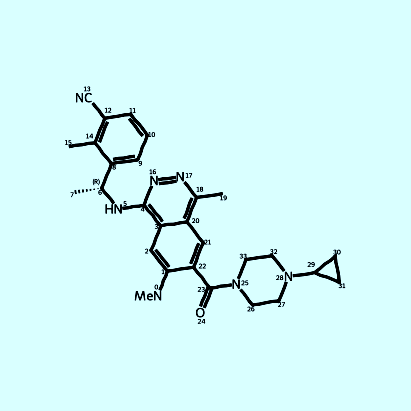 CNc1cc2c(N[C@H](C)c3cccc(C#N)c3C)nnc(C)c2cc1C(=O)N1CCN(C2CC2)CC1